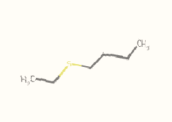 CC[CH]CSCC